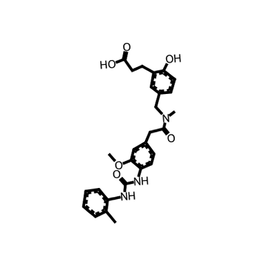 COc1cc(CC(=O)N(C)Cc2ccc(O)c(CCC(=O)O)c2)ccc1NC(=O)Nc1ccccc1C